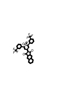 O=C1C(=C2C=C(c3cccc(C(F)(F)F)c3)S(=O)(=O)C(c3cccc(C(F)(F)F)c3)=C2)C(=O)c2cc3ccccc3cc21